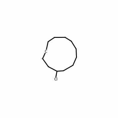 ClC1C[CH]CCCCCCCCC1